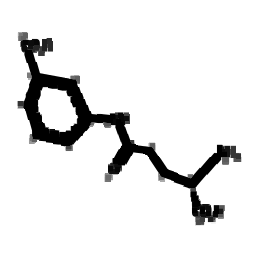 N[C@@H](CCC(=O)Nc1cccc(C(=O)O)c1)C(=O)O